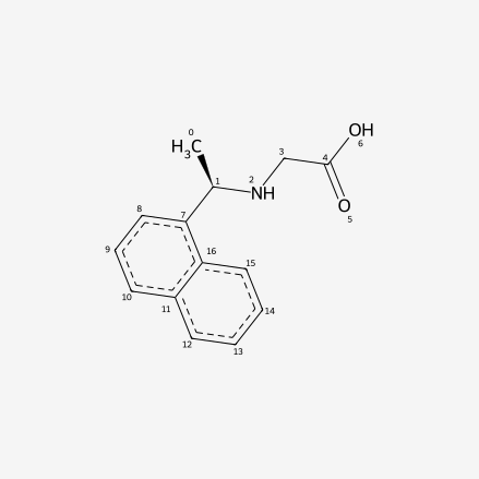 C[C@@H](NCC(=O)O)c1cccc2ccccc12